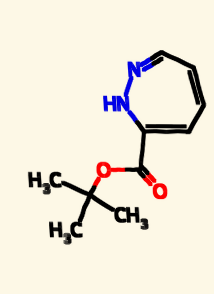 CC(C)(C)OC(=O)C1=CC=CC=NN1